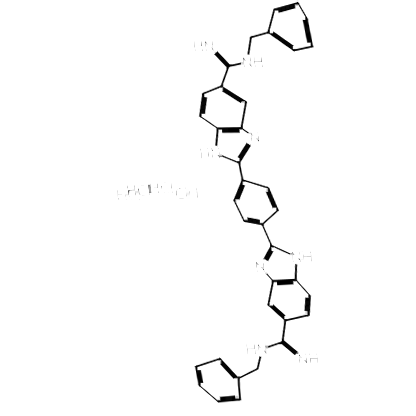 Cl.Cl.Cl.Cl.N=C(NCc1ccccc1)c1ccc2[nH]c(-c3ccc(-c4nc5cc(C(=N)NCc6ccccc6)ccc5[nH]4)cc3)nc2c1